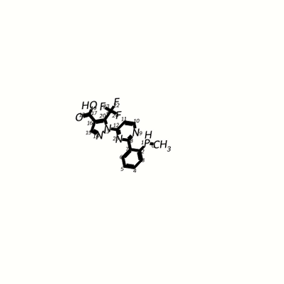 CPc1ccccc1-c1nccc(-n2ncc(C(=O)O)c2C(F)(F)F)n1